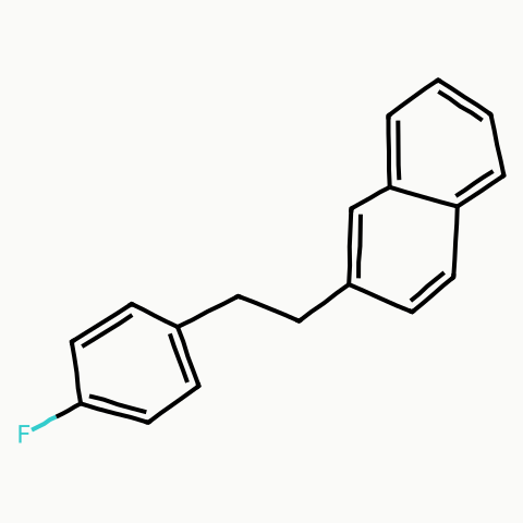 Fc1ccc(CCc2ccc3ccccc3c2)cc1